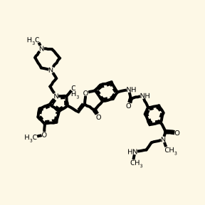 CNCCN(C)C(=O)c1ccc(NC(=O)Nc2ccc3c(c2)C(=O)/C(=C/c2c(C)n(CCN4CCN(C)CC4)c4ccc(OC)cc24)O3)cc1